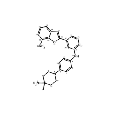 CC1(N)CCN(c2ccc(Nc3nccc(-c4cc5cccc(N)c5o4)n3)cc2)CC1